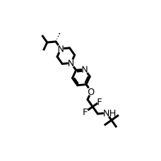 CC(C)[C@H](C)N1CCN(c2ccc(OCC(F)(F)CNC(C)(C)C)cn2)CC1